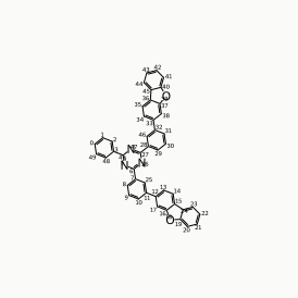 c1ccc(-c2nc(-c3cccc(-c4ccc5c(c4)oc4ccccc45)c3)nc(-c3cccc(-c4ccc5c(c4)oc4ccccc45)c3)n2)cc1